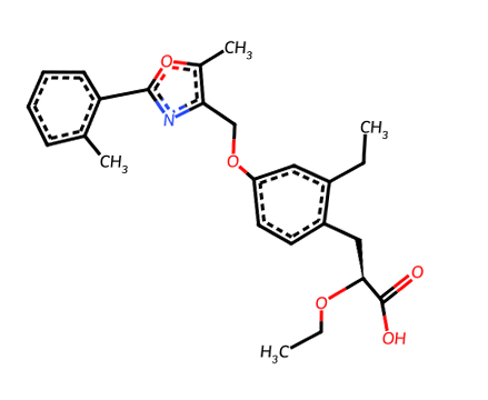 CCO[C@@H](Cc1ccc(OCc2nc(-c3ccccc3C)oc2C)cc1CC)C(=O)O